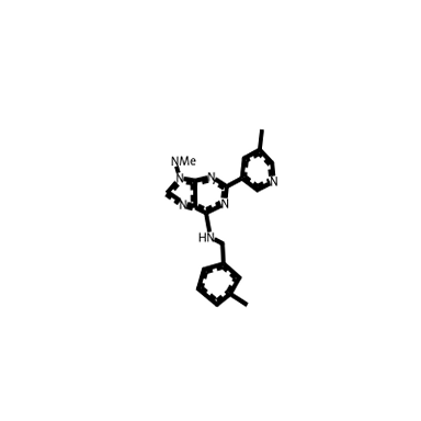 CNn1cnc2c(NCc3cccc(C)c3)nc(-c3cncc(C)c3)nc21